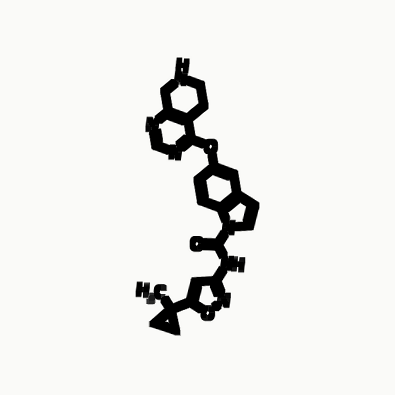 CC1(c2cc(NC(=O)n3ccc4cc(Oc5ncnc6c5CCNC6)ccc43)no2)CC1